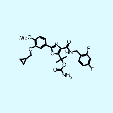 COc1ccc(-c2nc(C(=O)NCc3ccc(F)cc3F)c(C(C)(C)OC(N)=O)o2)cc1OCC1CC1